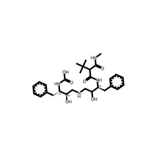 CNC(=O)C(C(=O)N[C@@H](Cc1ccccc1)C(O)CNC[C@@H](O)[C@H](Cc1ccccc1)NC(=O)O)C(C)(C)C